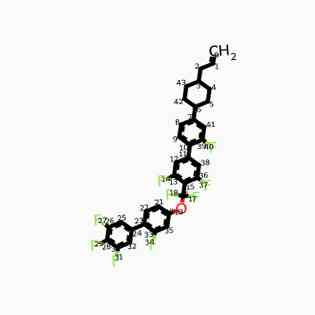 C=CCC1CCC(c2ccc(-c3cc(F)c(C(F)(F)Oc4ccc(-c5cc(F)c(F)c(F)c5)c(F)c4)c(F)c3)c(F)c2)CC1